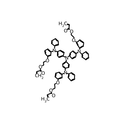 C=CC(=O)OCCOc1cccc(N(c2ccccc2)c2ccc(N(c3ccc(N(c4ccccc4)c4cccc(OCCOC(=O)C=C)c4)cc3)c3ccc(N(c4ccccc4)c4cccc(OCCOC(=O)C=C)c4)cc3)cc2)c1